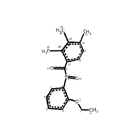 CCOc1ccccc1[P](=O)C(=O)c1ccc(C)c(C)c1C